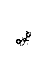 CCNc1c(C)c(-c2ccnc(C)c2)nn1-c1ccccc1